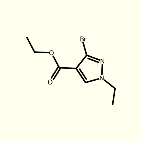 CCOC(=O)c1cn(CC)nc1Br